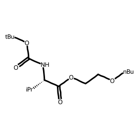 CCCCOCCOC(=O)[C@@H](NC(=O)OC(C)(C)C)C(C)C